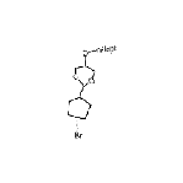 CCCCCCCOC1COC(C2CCC(Br)CC2)OC1